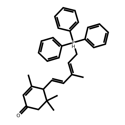 CC(C=CC1C(C)=CC(=O)CC1(C)C)=CC[PH](c1ccccc1)(c1ccccc1)c1ccccc1